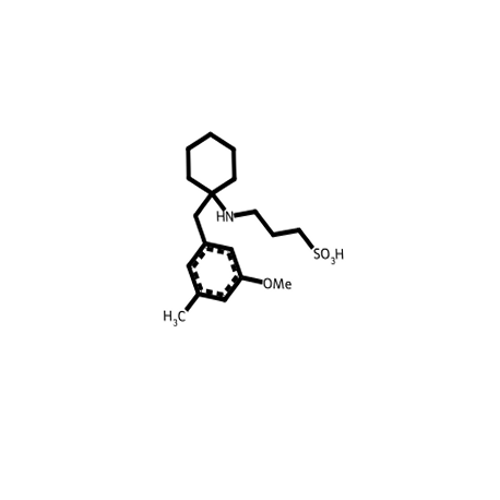 COc1cc(C)cc(CC2(NCCCS(=O)(=O)O)CCCCC2)c1